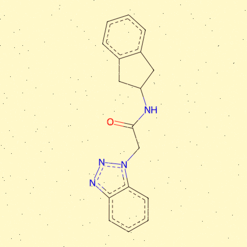 O=C(Cn1nnc2ccccc21)NC1Cc2ccccc2C1